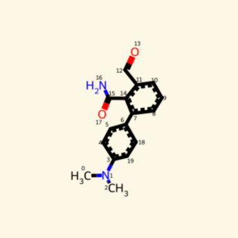 CN(C)c1ccc(-c2cccc(C=O)c2C(N)=O)cc1